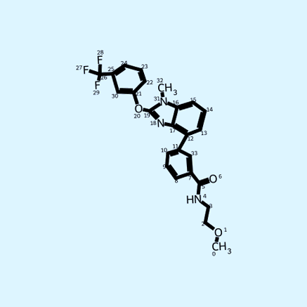 COCCNC(=O)c1cccc(-c2cccc3c2nc(Oc2cccc(C(F)(F)F)c2)n3C)c1